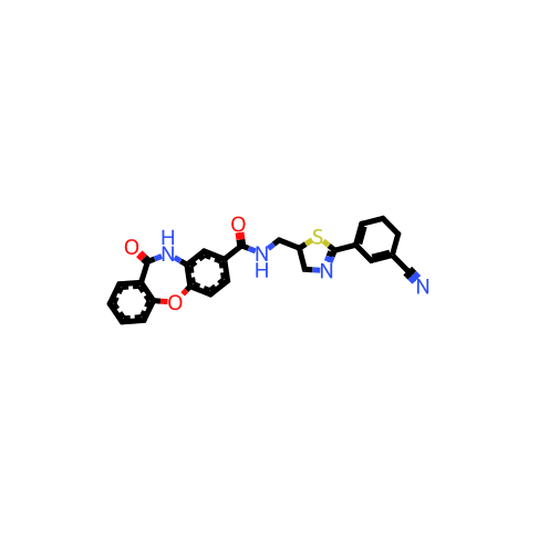 N#CC1=CC(C2=NCC(CNC(=O)c3ccc4c(c3)NC(=O)c3ccccc3O4)S2)=CCC1